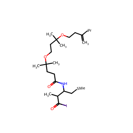 C=C(CCOC(C)(C)CCOC(C)(C)CCC(=O)NC(CSC)C(C)C(=O)I)C(C)C